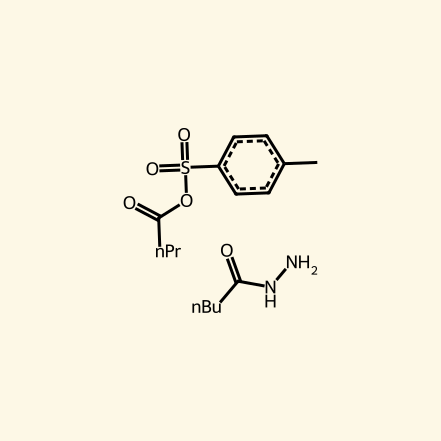 CCCC(=O)OS(=O)(=O)c1ccc(C)cc1.CCCCC(=O)NN